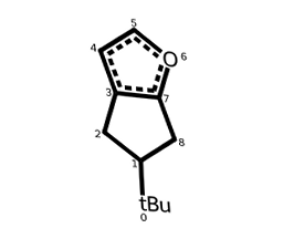 CC(C)(C)C1Cc2ccoc2C1